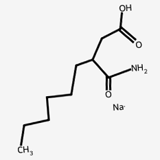 CCCCCCC(CC(=O)O)C(N)=O.[Na]